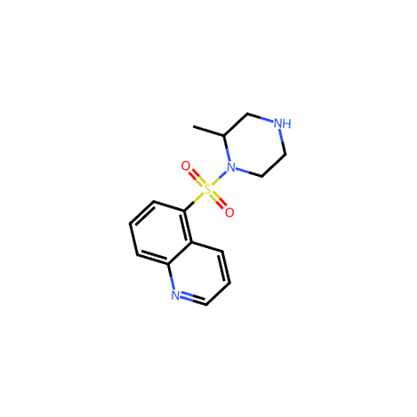 CC1CNCCN1S(=O)(=O)c1cccc2ncccc12